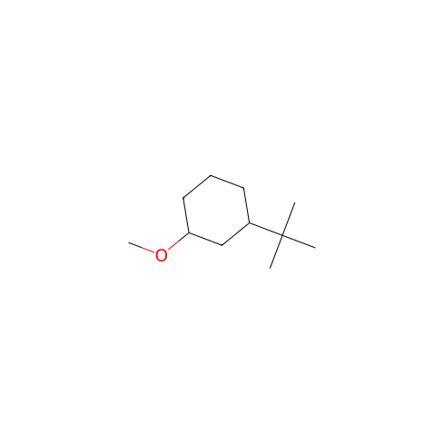 COC1CCCC(C(C)(C)C)C1